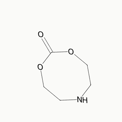 O=C1OCCNCCO1